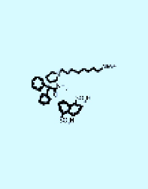 CNCCCCCCCCN1CC[C@@H](C(C(N)=O)(c2ccccc2)c2ccccc2)C1.O=S(=O)(O)c1cccc2c(S(=O)(=O)O)cccc12